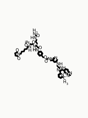 Cc1cccc(-c2nc(CNc3cncc(CNC(=O)OCc4ccc(NC(=O)[C@H](CCCNC(N)=O)NC(=O)C(NC(=O)CCCCCN5C(=O)C=CC5=O)C(C)C)cc4)c3)[nH]c2-c2ccc3ncnn3c2)n1